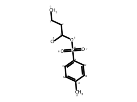 CCCC(Cl)OS(=O)(=O)c1ccc(C)cc1